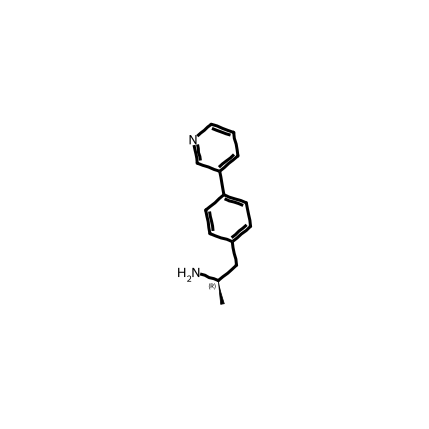 C[C@@H](N)Cc1ccc(-c2cccnc2)cc1